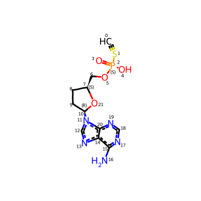 C#S[P@@](=O)(O)OC[C@@H]1CC[C@H](n2cnc3c(N)ncnc32)O1